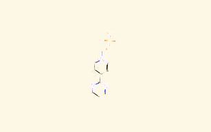 O=S(=O)([O-])OC[n+]1ccc(-c2ncccn2)cc1